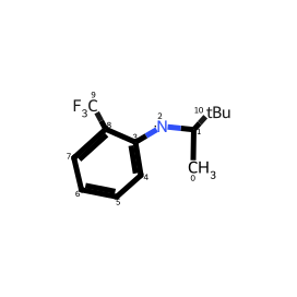 CC([N]c1ccccc1C(F)(F)F)C(C)(C)C